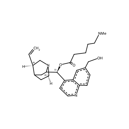 C=C[C@H]1CN2CCC1C[C@@H]2[C@@H](OC(=O)CCCCNC)c1ccnc2ccc(CO)cc12